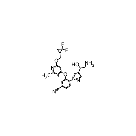 Cc1nc(OCC2CC2(F)F)cc(Oc2cc(C#N)ccc2-n2cc([C@@H](O)CN)cn2)n1